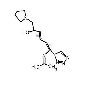 CC(C)=N/C(=C\C=C\C(O)CN1CCCC1)n1cnnn1